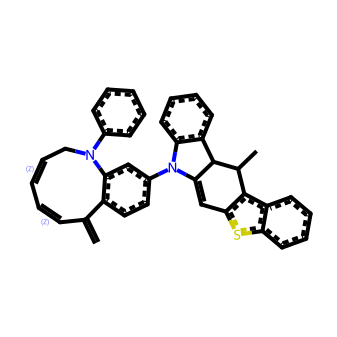 C=C1/C=C\C=C/CN(c2ccccc2)c2cc(N3C4=Cc5sc6ccccc6c5C(C)C4c4ccccc43)ccc21